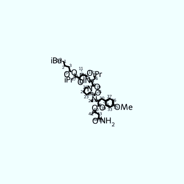 CC[C@H](C)CCCC(=O)O[C@H](C(=O)[C@H](C)C(=O)N[C@@H](CC(C)C)C(=O)N1CCC[C@H]1C(=O)N(C)C(Cc1ccc(OC)cc1)C(=O)O[C@H](C)CC(N)=O)C(C)C